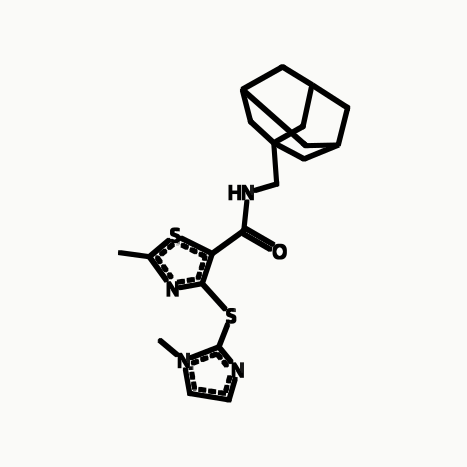 Cc1nc(Sc2nccn2C)c(C(=O)NCC23CC4CC(CC(C4)C2)C3)s1